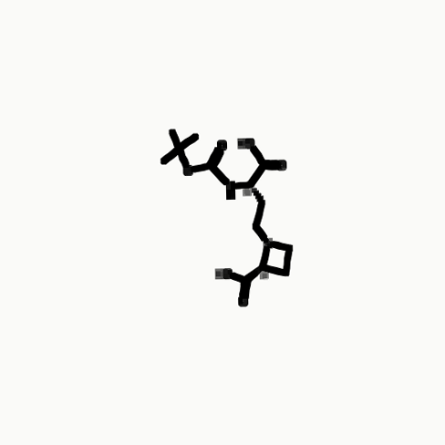 CC(C)(C)OC(=O)N[C@@H](CCN1CC[C@H]1C(=O)O)C(=O)O